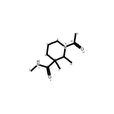 CNC(=O)C1(C)CCCN(C(C)=O)C1C